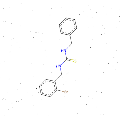 S=C(NCc1ccccc1)NCc1ccccc1Br